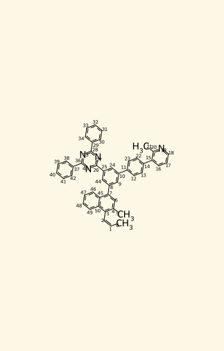 C/C=C\c1c(C)cc(-c2cc(-c3ccc(-c4cccnc4C)cc3)cc(-c3nc(-c4ccccc4)nc(-c4ccccc4)n3)c2)c2ccccc12